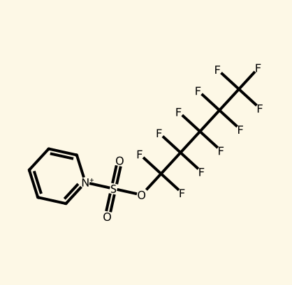 O=S(=O)(OC(F)(F)C(F)(F)C(F)(F)C(F)(F)C(F)(F)F)[n+]1ccccc1